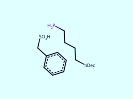 CCCCCCCCCCCCCCP.O=S(=O)(O)Cc1ccccc1